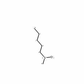 [CH2]CCCC[S+](C)[O-]